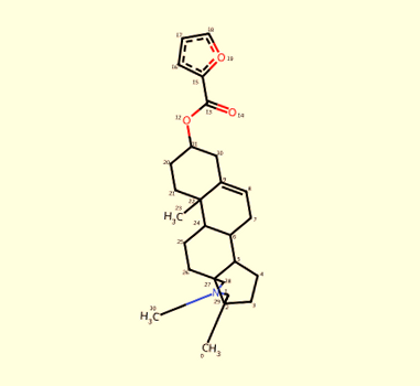 CC1C2CCC3C4CC=C5CC(OC(=O)c6ccco6)CCC5(C)C4CCC32CN1C